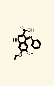 CCOc1cc2[nH]cc(C(=O)O)c(=Nc3ccccc3)c2cc1O